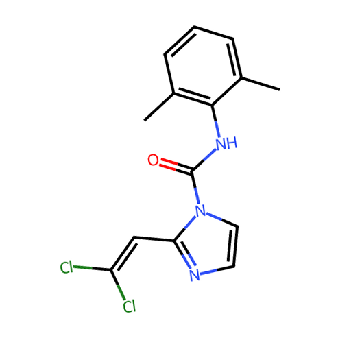 Cc1cccc(C)c1NC(=O)n1ccnc1C=C(Cl)Cl